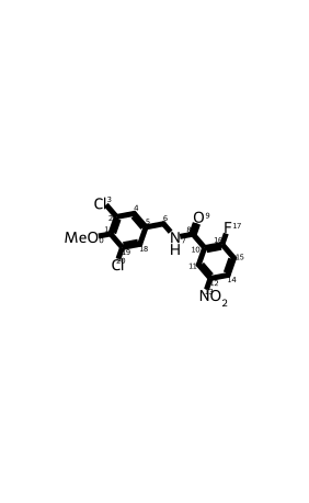 COc1c(Cl)cc(CNC(=O)c2cc([N+](=O)[O-])ccc2F)cc1Cl